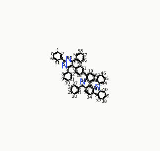 c1ccc(-c2nc(-c3ccccc3)c(-c3ccc(-c4cccc5c4nc(-c4ccccc4)c4ccc6c7ccccc7n(-c7ccccc7)c6c45)cc3)c(-c3ccccc3)n2)cc1